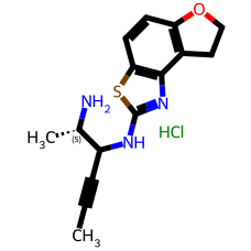 CC#CC(Nc1nc2c3c(ccc2s1)OCC3)[C@H](C)N.Cl